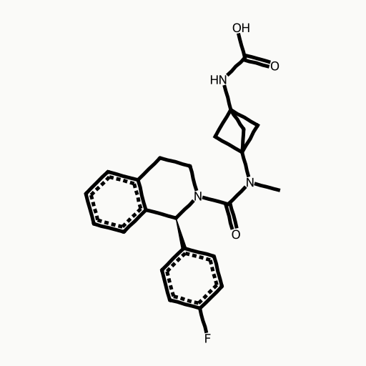 CN(C(=O)N1CCc2ccccc2[C@@H]1c1ccc(F)cc1)C12CC(NC(=O)O)(C1)C2